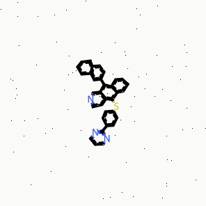 c1cnc(-c2ccc(Sc3c4ccccc4c(-c4ccc5ccccc5c4)c4cnccc34)cc2)nc1